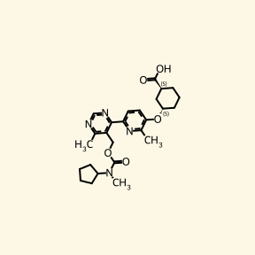 Cc1nc(-c2ncnc(C)c2COC(=O)N(C)C2CCCC2)ccc1O[C@H]1CCC[C@H](C(=O)O)C1